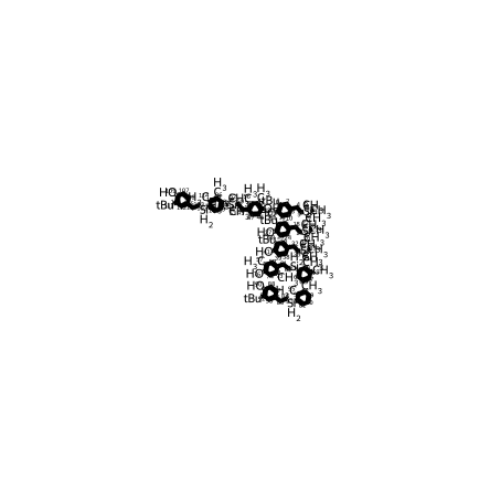 CC(C)(C)c1cc(CC[Si](C)(C)C)ccc1O.CC(C)(C)c1cc(CC[Si](C)(C)C)ccc1O.CC(C)(C)c1cc(CC[Si](C)(C)C)ccc1O.Cc1c(O)ccc(CC[Si](C)(C)C)c1C.Cc1cc(CC[SiH2]c2cccc(C)c2C)c(C)cc1O.Cc1cccc([SiH2]CCc2ccc(O)c(C(C)(C)C)c2)c1C.Cc1cccc([SiH2]CCc2ccc(O)c(C(C)(C)C)c2)c1C